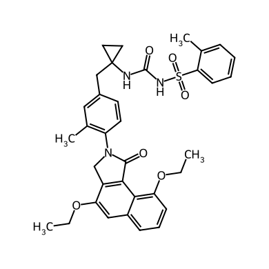 CCOc1cc2cccc(OCC)c2c2c1CN(c1ccc(CC3(NC(=O)NS(=O)(=O)c4ccccc4C)CC3)cc1C)C2=O